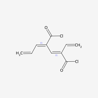 C=C/C=C(\C=C(/C=C)C(=O)Cl)C(=O)Cl